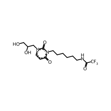 O=C(NCCCCCCn1c(=O)ccn(CC(O)CO)c1=O)C(F)(F)F